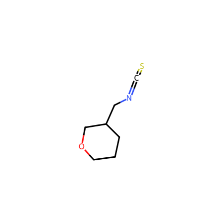 S=C=NCC1CCCOC1